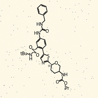 CC(C)OC(=O)NC1CC[C@@H](c2ncc(-c3ccc(NC(=O)NCc4ccccc4)cc3S(=O)(=O)NC(C)(C)C)s2)OC1